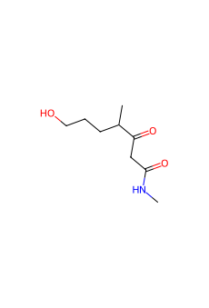 CNC(=O)CC(=O)C(C)CCCO